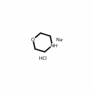 C1COCCN1.Cl.[Na]